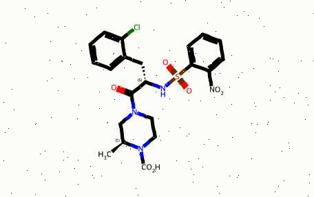 C[C@H]1CN(C(=O)[C@H](Cc2ccccc2Cl)NS(=O)(=O)c2ccccc2[N+](=O)[O-])CCN1C(=O)O